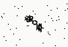 Cc1nc(-c2ccc(B3OC(C)(C)C(C)(C)O3)cc2)nn1C